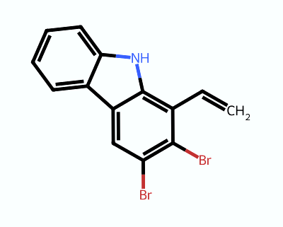 C=Cc1c(Br)c(Br)cc2c1[nH]c1ccccc12